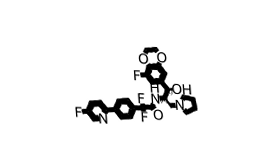 O=C(N[C@H](CN1CCCC1)[C@H](O)c1cc(F)c2c(c1)OCCO2)C(F)(F)c1ccc(-c2ccc(F)cn2)cc1